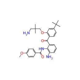 COc1ccc(C(=O)Nc2c(N)cccc2C(=O)c2ccc(C(C)(C)C)cc2OCC(C)(C)CN)cc1